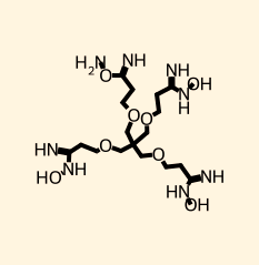 N=C(CCOCC(COCCC(=N)NO)(COCCC(=N)NO)COCCC(=N)ON)NO